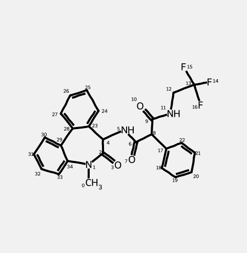 CN1C(=O)C(NC(=O)C(C(=O)NCC(F)(F)F)c2ccccc2)c2ccccc2-c2ccccc21